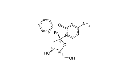 Nc1ccn([C@@]2(Br)C[C@H](O)[C@@H](CO)O2)c(=O)n1.c1cncnc1